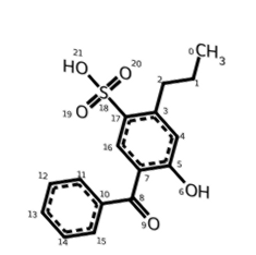 CCCc1cc(O)c(C(=O)c2ccccc2)cc1S(=O)(=O)O